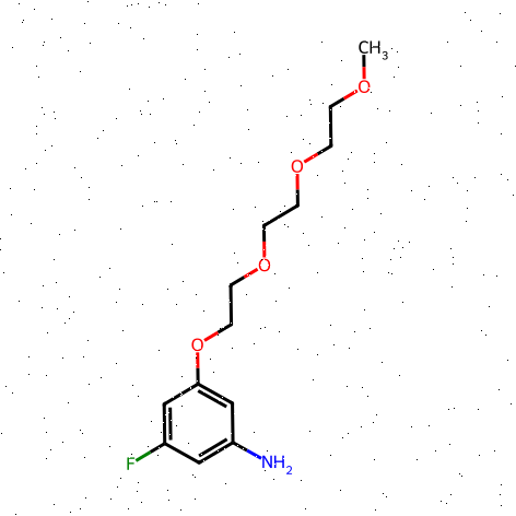 COCCOCCOCCOc1cc(N)cc(F)c1